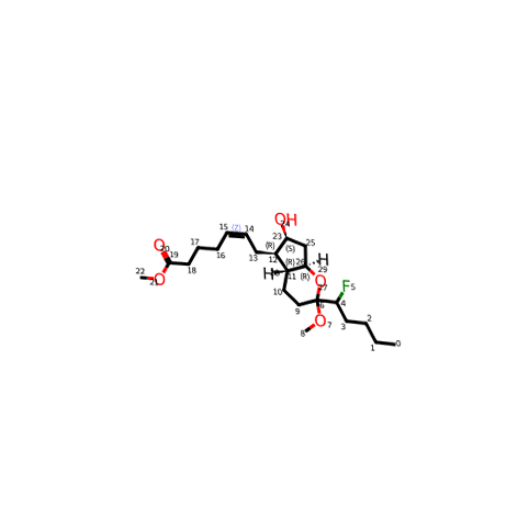 CCCCC(F)C1(OC)CC[C@@H]2[C@@H](C/C=C\CCCC(=O)OC)[C@@H](O)C[C@H]2O1